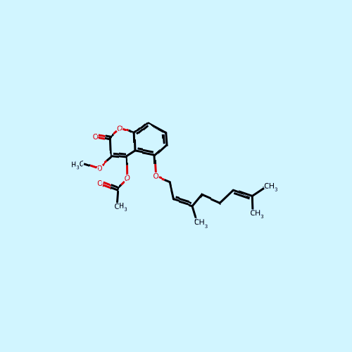 COc1c(OC(C)=O)c2c(OCC=C(C)CCC=C(C)C)cccc2oc1=O